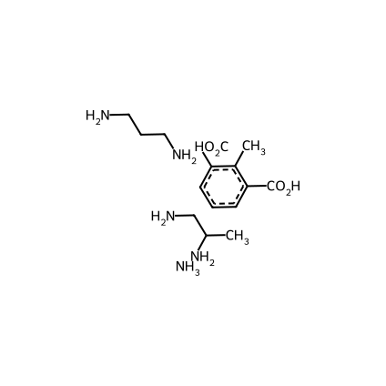 CC(N)CN.Cc1c(C(=O)O)cccc1C(=O)O.N.NCCCN